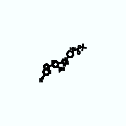 CNc1cc(-c2ccc3cc(C#N)cnn23)ncc1-c1cn(C2CCC(NC(=O)OC(C)(C)C)CC2)nn1